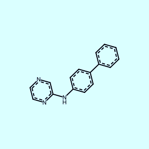 c1ccc(-c2ccc(Nc3cnccn3)cc2)cc1